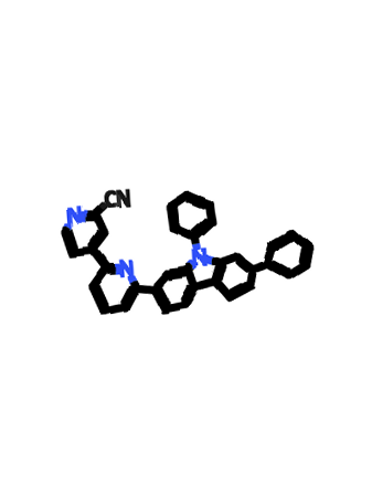 N#Cc1cc(-c2cccc(-c3ccc4c5ccc(-c6ccccc6)cc5n(-c5ccccc5)c4c3)n2)ccn1